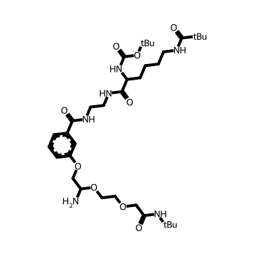 CC(C)(C)NC(=O)COCCOC(N)COc1cccc(C(=O)NCCNC(=O)C(CCCCNC(=O)C(C)(C)C)NC(=O)OC(C)(C)C)c1